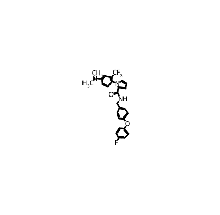 CN(C)c1ccc(-n2cccc2C(=O)NCc2ccc(Oc3ccc(F)cc3)cc2)c(C(F)(F)F)c1